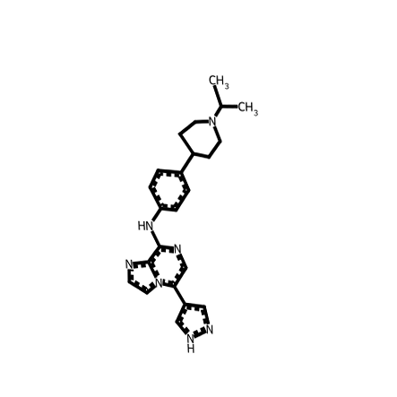 CC(C)N1CCC(c2ccc(Nc3ncc(-c4cn[nH]c4)n4ccnc34)cc2)CC1